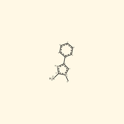 C[n+]1cc(-c2ccccc2)sc1N